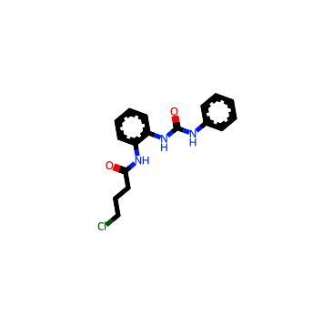 O=C(CCCCl)Nc1ccccc1NC(=O)Nc1ccccc1